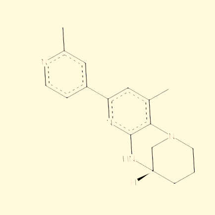 Cc1cc(-c2cc(C)c3c(n2)N[C@H]2CCCN3C2)ccn1